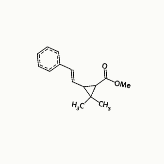 COC(=O)C1C(C=Cc2ccccc2)C1(C)C